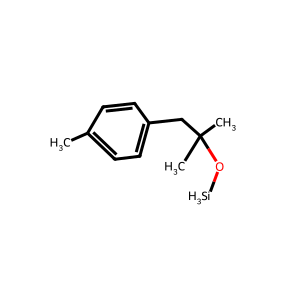 Cc1ccc(CC(C)(C)O[SiH3])cc1